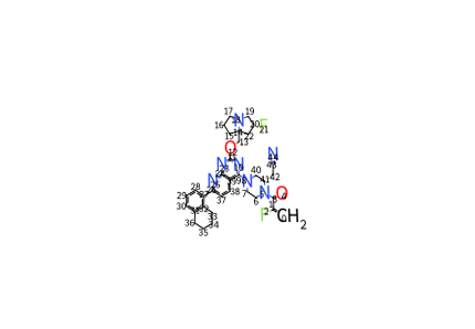 C=C(F)C(=O)N1CCN(c2nc(OCC34CCCN3C[C@H](F)C4)nc3nc(-c4cccc5c4CCCC5)ccc23)C[C@@H]1CC#N